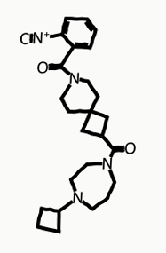 [C-]#[N+]c1ccccc1C(=O)N1CCC2(CC1)CC(C(=O)N1CCCN(C3CCC3)CC1)C2